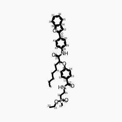 CCCCCCC(Oc1ccc(C(=O)NCCP(C)(=O)OCC)cc1)C(=O)Nc1ccc(-c2cc3ccccc3o2)cc1